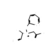 C=CC(Cl)[SH](=O)(CC(=O)CC)OC1=CC=CC=CN1